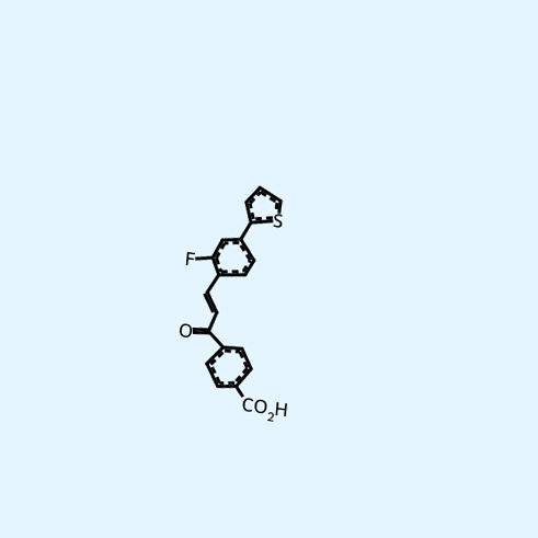 O=C(O)c1ccc(C(=O)/C=C/c2ccc(-c3cccs3)cc2F)cc1